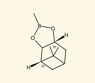 CB1OC2[C@H]3CC(C[C@H]2O1)C3(C)C